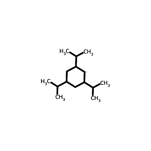 CC(C)C1[CH]C(C(C)C)CC(C(C)C)C1